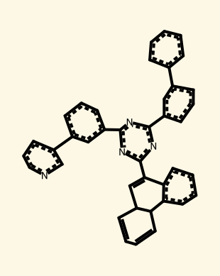 C1=CC2C=C(c3nc(-c4cccc(-c5ccccc5)c4)nc(-c4cccc(-c5cccnc5)c4)n3)c3ccccc3C2C=C1